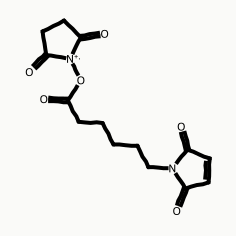 O=C(CCCCCN1C(=O)C=CC1=O)O[N+]1C(=O)CCC1=O